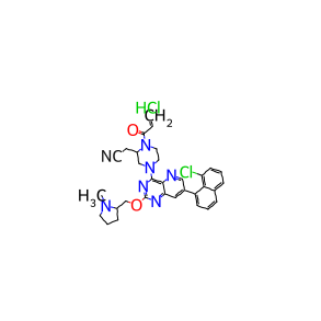 C=CC(=O)N1CCN(c2nc(OCC3CCCN3C)nc3cc(-c4cccc5cccc(Cl)c45)cnc23)CC1CC#N.Cl